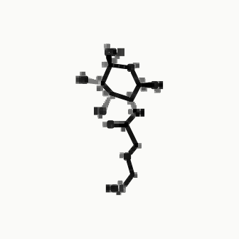 O=C(O)COCC(=O)N[C@@H]1[C@H](O)[C@H](O)[C@@H](C(=O)O)O[C@H]1O